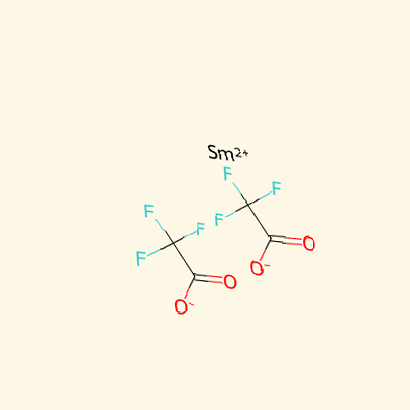 O=C([O-])C(F)(F)F.O=C([O-])C(F)(F)F.[Sm+2]